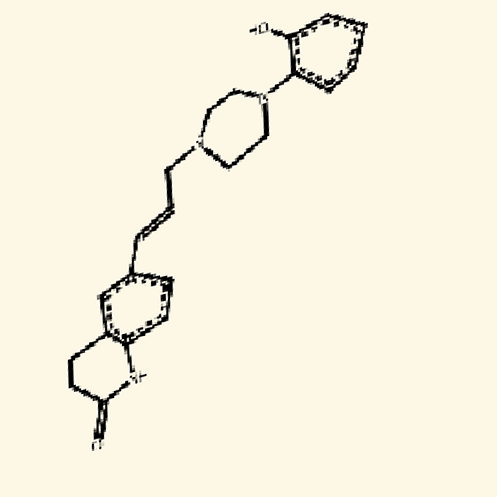 O=C1CCc2cc(/C=C/CN3CCN(c4ccccc4O)CC3)ccc2N1